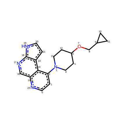 c1cc(N2CCC(OCC3CC3)CC2)c2c(cnc3[nH]ccc32)n1